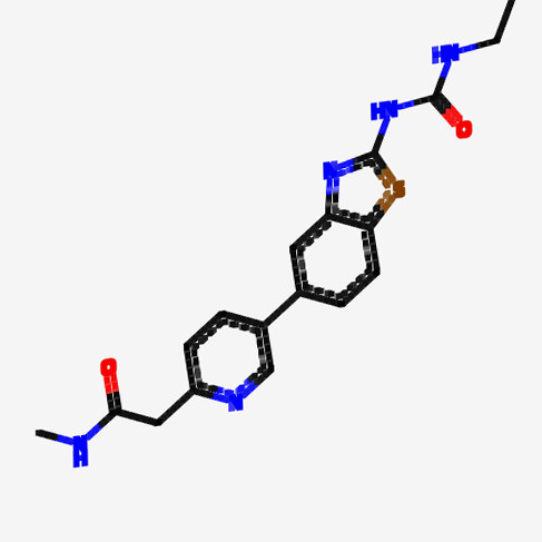 CCNC(=O)Nc1nc2cc(-c3ccc(CC(=O)NC)nc3)ccc2s1